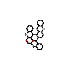 c1ccc2nc3ccc(-c4c5ccccc5nc5ccccc45)c(-c4c5ccccc5nc5ccccc45)c3cc2c1